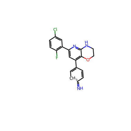 C/C=C(\C=C/C=N)c1cc(-c2cc(Cl)ccc2F)nc2c1OCCN2